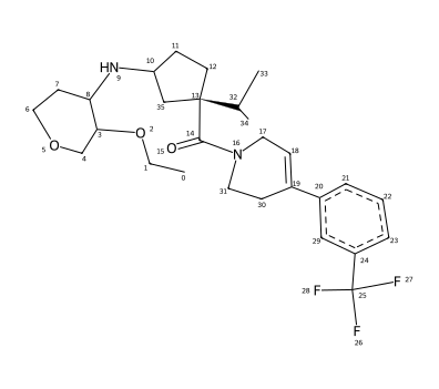 CCOC1COCCC1NC1CC[C@@](C(=O)N2CC=C(c3cccc(C(F)(F)F)c3)CC2)(C(C)C)C1